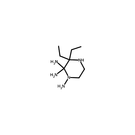 CCC1(CC)NCCN(N)C1(N)N